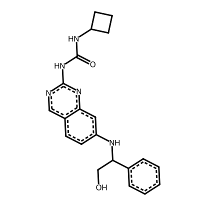 O=C(Nc1ncc2ccc(NC(CO)c3ccccc3)cc2n1)NC1CCC1